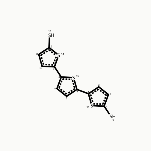 Sc1ccc(-c2ccc(-c3ccc(S)s3)s2)s1